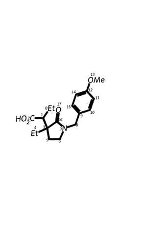 CCC(C(=O)O)C1(CC)CCN(Cc2ccc(OC)cc2)C1=O